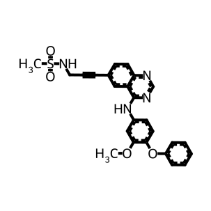 COc1cc(Nc2ncnc3ccc(C#CCNS(C)(=O)=O)cc23)ccc1Oc1ccccc1